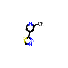 FC(F)(F)c1cc(-c2nncs2)ccn1